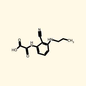 CCCNc1cccc(NC(=O)C(=O)O)c1C#N